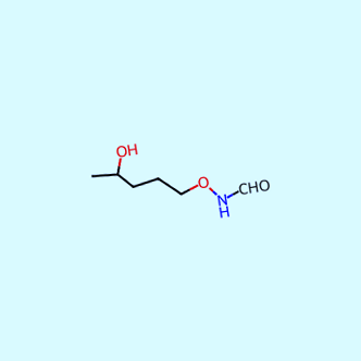 CC(O)CCCONC=O